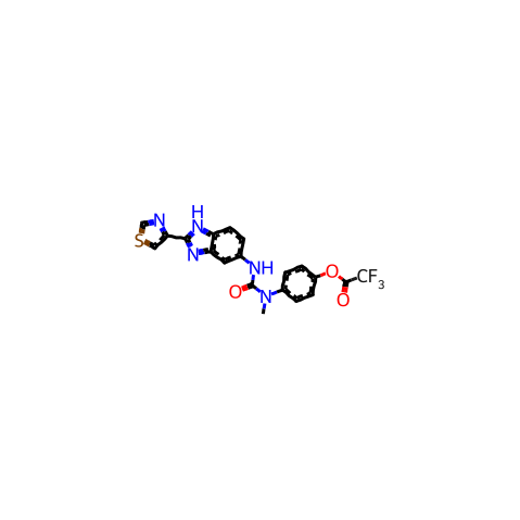 CN(C(=O)Nc1ccc2[nH]c(-c3cscn3)nc2c1)c1ccc(OC(=O)C(F)(F)F)cc1